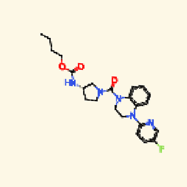 CCCCOC(=O)N[C@H]1CCN(C(=O)N2CCN(c3ccc(F)cn3)c3ccccc32)C1